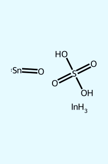 O=S(=O)(O)O.[InH3].[O]=[Sn]